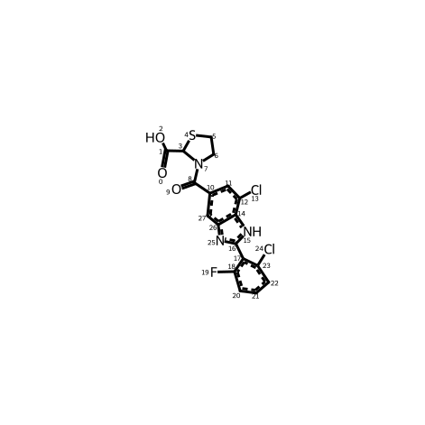 O=C(O)C1SCCN1C(=O)c1cc(Cl)c2[nH]c(-c3c(F)cccc3Cl)nc2c1